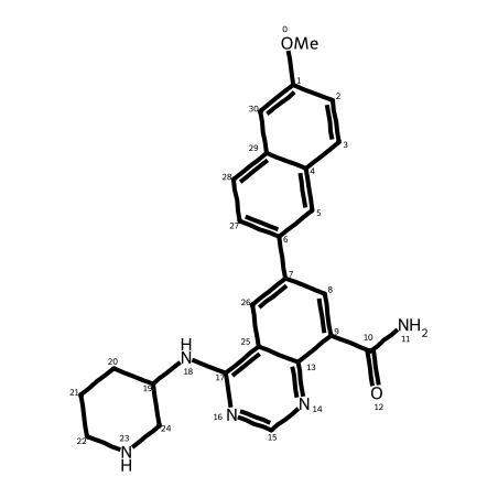 COc1ccc2cc(-c3cc(C(N)=O)c4ncnc(NC5CCCNC5)c4c3)ccc2c1